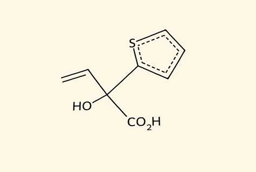 C=CC(O)(C(=O)O)c1cccs1